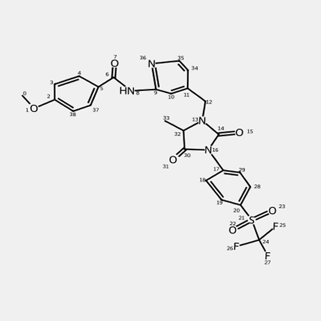 COc1ccc(C(=O)Nc2cc(CN3C(=O)N(c4ccc(S(=O)(=O)C(F)(F)F)cc4)C(=O)C3C)ccn2)cc1